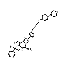 CCC(C(=O)O)(c1ccccc1)n1ncc2c1nc(N)n1nc(-c3cc(COCCOc4ccc(N5CCNCC5)cc4)co3)nc21